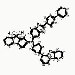 CC1(C)c2ccccc2-c2ccc(N(c3ccc(-c4cccc5c4sc4ccccc45)cc3)c3ccc4nc(-c5ccc(-c6ccccc6)cc5)oc4c3)cc21